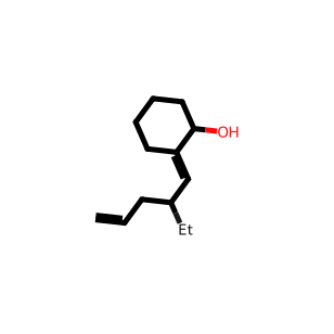 C=CCC(C=C1CCCCC1O)CC